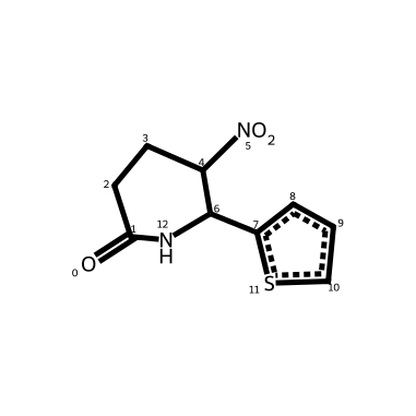 O=C1CCC([N+](=O)[O-])C(c2cccs2)N1